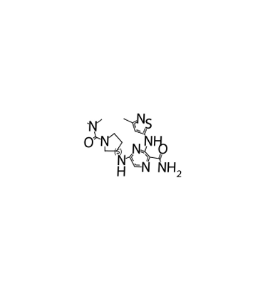 Cc1cc(Nc2nc(N[C@H]3CCN(C(=O)N(C)C)C3)cnc2C(N)=O)sn1